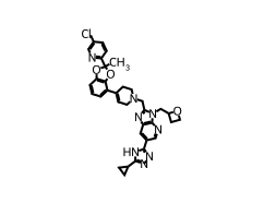 CC1(c2ccc(Cl)cn2)Oc2cccc(C3=CCN(Cc4nc5cc(-c6nnc(C7CC7)[nH]6)cnc5n4CC4CCO4)CC3)c2O1